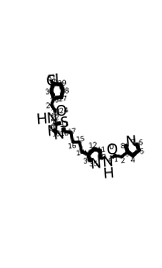 O=C(Cc1cccnc1)Nc1ccc(CCCCc2nnc(NC(=O)Cc3cccc(Cl)c3)s2)cn1